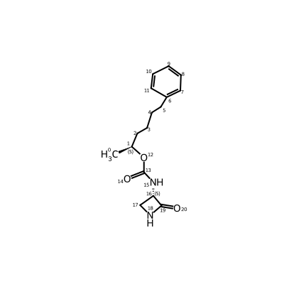 C[C@@H](CCCCc1ccccc1)OC(=O)N[C@H]1CNC1=O